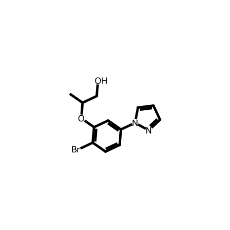 CC(CO)Oc1cc(-n2cccn2)ccc1Br